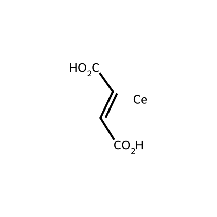 O=C(O)C=CC(=O)O.[Ce]